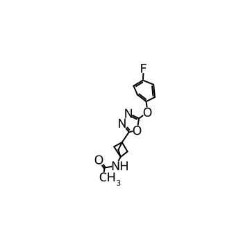 CC(=O)NC12CC(c3nnc(Oc4ccc(F)cc4)o3)(C1)C2